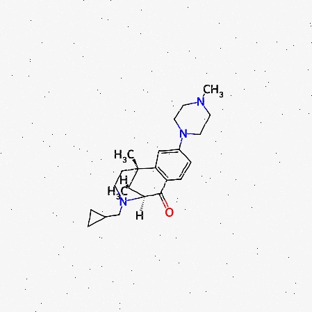 C[C@H]1[C@H]2C(=O)c3ccc(N4CCN(C)CC4)cc3[C@@]1(C)CCN2CC1CC1